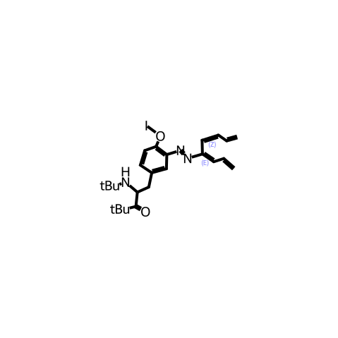 C=C/C=C\C(=C/C=C)N=Nc1cc(CC(NC(C)(C)C)C(=O)C(C)(C)C)ccc1OI